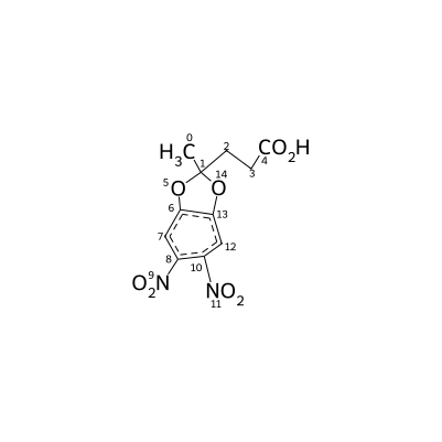 CC1(CCC(=O)O)Oc2cc([N+](=O)[O-])c([N+](=O)[O-])cc2O1